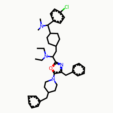 CCN(CC)C(CC1CCC(C(c2ccc(Cl)cc2)N(C)C)CC1)c1nc(Cc2ccccc2)c(N2CCC(Cc3ccccc3)CC2)o1